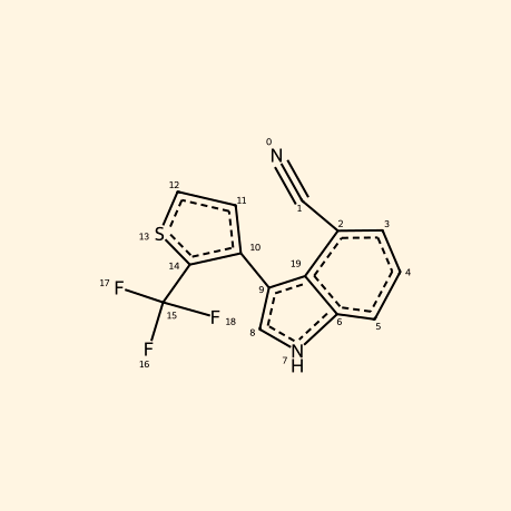 N#Cc1cccc2[nH]cc(-c3ccsc3C(F)(F)F)c12